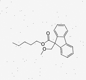 CCCCCOC(=O)C1(COC)c2ccccc2-c2ccccc21